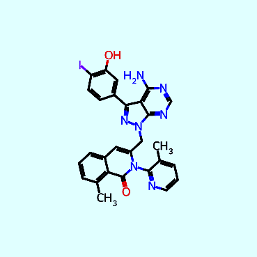 Cc1cccnc1-n1c(Cn2nc(-c3ccc(I)c(O)c3)c3c(N)ncnc32)cc2cccc(C)c2c1=O